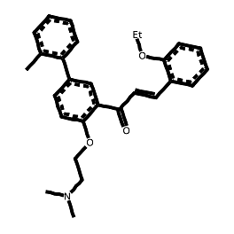 CCOc1ccccc1/C=C/C(=O)c1cc(-c2ccccc2C)ccc1OCCN(C)C